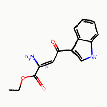 CCOC(=O)/C(N)=C/C(=O)c1c[nH]c2ccccc12